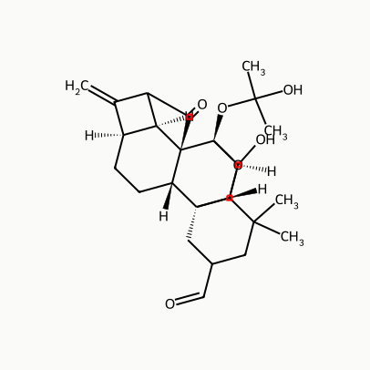 C=C1C2C(=O)[C@]34[C@H]2[C@H]1CC[C@H]3[C@@]12CO[C@]4(OC(C)(C)O)[C@@H](O)[C@@H]1C(C)(C)CC(C=O)C2